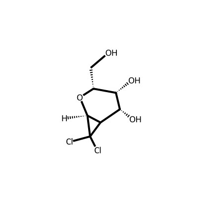 OC[C@H]1O[C@H]2C([C@@H](O)[C@H]1O)C2(Cl)Cl